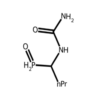 CCCC(NC(N)=O)[PH2]=O